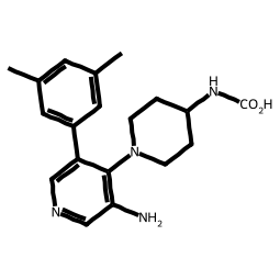 Cc1cc(C)cc(-c2cncc(N)c2N2CCC(NC(=O)O)CC2)c1